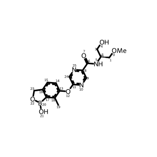 COC[C@H](CO)NC(=O)c1cnc(Oc2ccc3c(c2C)B(O)OC3)cn1